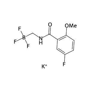 COc1ccc(F)cc1C(=O)NC[B-](F)(F)F.[K+]